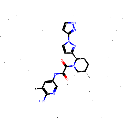 Cc1cc(NC(=O)C(=O)N2C[C@@H](C)CC[C@@H]2c2ccn(-c3cc[nH]n3)n2)cnc1N